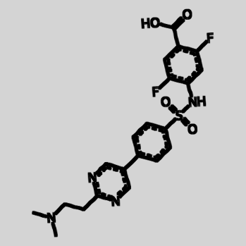 CN(C)CCc1ncc(-c2ccc(S(=O)(=O)Nc3cc(F)c(C(=O)O)cc3F)cc2)cn1